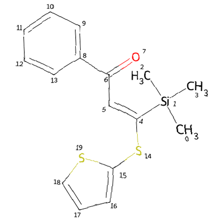 C[Si](C)(C)/C(=C\C(=O)c1ccccc1)Sc1cccs1